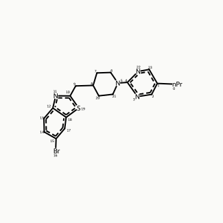 CCCc1cnc(N2CCC(Cc3nc4ccc(Br)cc4s3)CC2)nc1